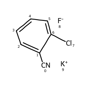 N#Cc1ccccc1Cl.[F-].[K+]